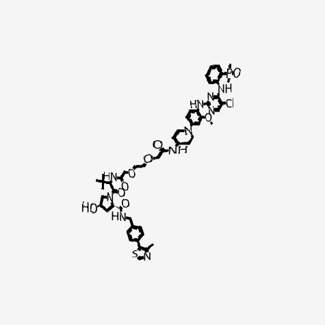 COc1cc(N2CCC(NC(=O)COCCOCC(=O)NC(C(=O)N3C[C@H](O)C[C@H]3C(=O)NCc3ccc(-c4scnc4C)cc3)C(C)(C)C)CC2)ccc1Nc1ncc(Cl)c(Nc2ccccc2P(C)(C)=O)n1